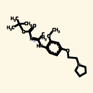 COc1cc(OCCN2CCCC2)ccc1N/C(C)=N/C(=O)OC(C)(C)C